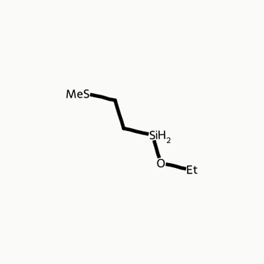 CCO[SiH2]CCSC